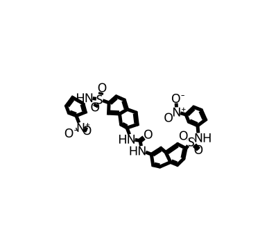 O=C(Nc1ccc2ccc(S(=O)(=O)Nc3cccc([N+](=O)[O-])c3)cc2c1)Nc1ccc2ccc(S(=O)(=O)Nc3cccc([N+](=O)[O-])c3)cc2c1